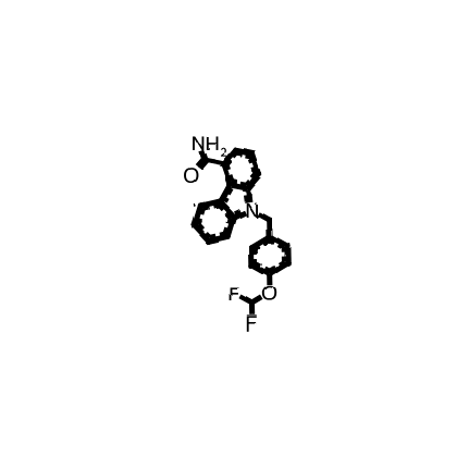 NC(=O)c1cccc2c1c1[c]cccc1n2Cc1ccc(OC(F)F)cc1